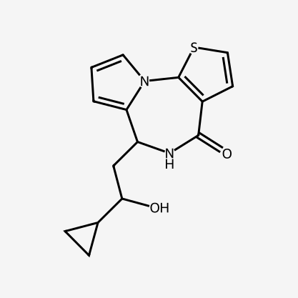 O=C1NC(CC(O)C2CC2)c2cccn2-c2sccc21